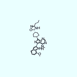 CCCC1=NOC([C@H]2CC[C@H](c3nc(-c4cc5cccc(OC)c5[nH]4)c4c(NC)ncnn43)CC2)N1